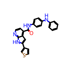 O=C(Nc1ccc(Nc2ccccc2)cc1)c1ccnc2[nH]c(-c3ccsc3)cc12